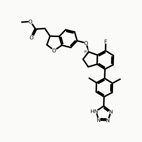 COC(=O)CC1COc2cc(O[C@@H]3CCc4c(-c5c(C)cc(-c6nnn[nH]6)cc5C)ccc(F)c43)ccc21